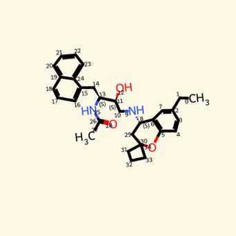 CCc1ccc2c(c1)[C@@H](NC[C@H](O)[C@H](Cc1cccc3ccccc13)NC(C)=O)CC1(CCC1)O2